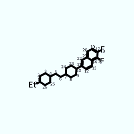 CCC1CCC(CCC2CCC(c3ccc4c(F)c(F)ccc4c3)CC2)CC1